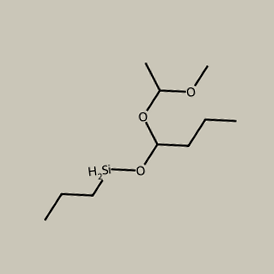 CCC[SiH2]OC(CCC)OC(C)OC